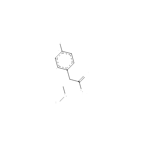 CC(C)(C)NC[C@@H](C(N)=O)c1ccc(Br)cc1